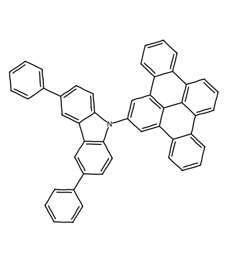 c1ccc(-c2ccc3c(c2)c2cc(-c4ccccc4)ccc2n3-c2cc3c4ccccc4c4cccc5c6ccccc6c(c2)c3c45)cc1